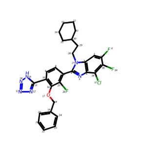 Fc1cc2c(nc(-c3ccc(-c4nnn[nH]4)c(OCc4ccccc4)c3F)n2CCC2CCCCC2)c(Cl)c1F